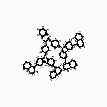 c1ccc2c(-c3ccc4c(c3)c3cc(-c5cccc6ccccc56)ccc3n4-c3ccc(-c4nc5ccccc5nc4-c4ccc(-n5c6ccc(-c7cccc8ccccc78)cc6c6cc(-c7cccc8ccccc78)ccc65)cc4)cc3)cccc2c1